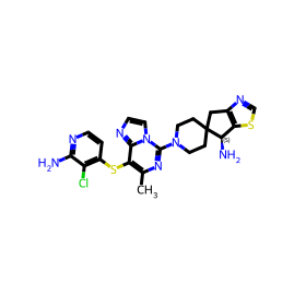 Cc1nc(N2CCC3(CC2)Cc2ncsc2[C@H]3N)n2ccnc2c1Sc1ccnc(N)c1Cl